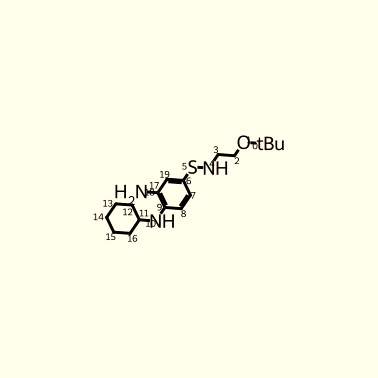 CC(C)(C)OCCNSc1ccc(NC2CCCCC2)c(N)c1